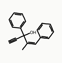 C#CC(O)(C(C)=Cc1ccccc1)c1ccccc1